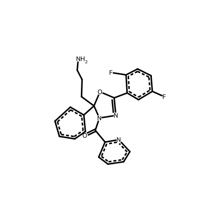 NCCCC1(c2ccccc2)OC(c2cc(F)ccc2F)=NN1C(=O)c1ccccn1